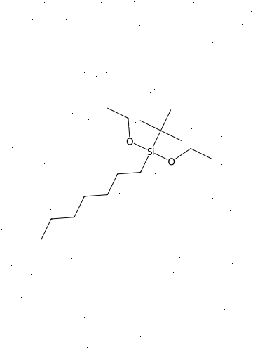 CCCCCCC[Si](OCC)(OCC)C(C)(C)C